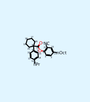 CCCCCCCCc1ccc(OC(=O)C2(c3ccc(CCC)cc3)CCCCC2)c(C#N)c1